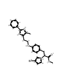 COC(=O)C(Cc1ccc(OCCc2nc(-c3ccccc3)oc2C)cc1)n1ccc(Br)c1